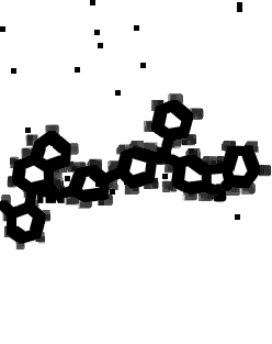 CC1C=CC=CC1c1ccc2ccccc2c1Nc1ccc(-c2ccc(N(c3ccccc3)c3ccc4sc5ccccc5c4c3)cc2)cc1